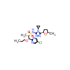 CCCO[C@@H](c1ncc(Cl)cn1)[C@H](C)S(=O)(=O)Nc1nnc([C@H]2CC[C@@H](C)O2)n1C1CC1